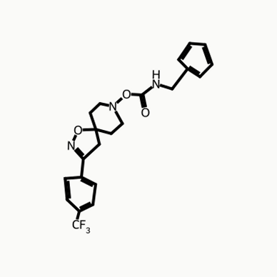 O=C(NCc1ccccc1)ON1CCC2(CC1)CC(c1ccc(C(F)(F)F)cc1)=NO2